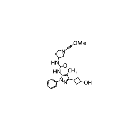 COC#CN1CCC(NC(=O)Nc2c(C)c(C3CC(O)C3)nn2-c2ccccc2)C1